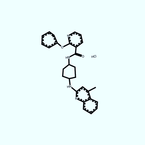 Cc1cc(NC2CCC(NC(=O)c3cccnc3Oc3ccccc3)CC2)nc2ccccc12.Cl